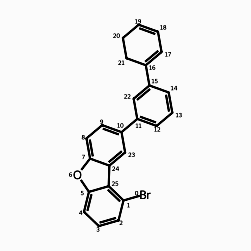 Brc1cccc2oc3ccc(-c4cccc(C5=CC=CCC5)c4)cc3c12